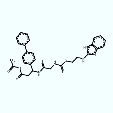 O=C(CNC(=O)OCCNc1nc2ccccc2[nH]1)NC(CC(=O)OC(=O)C(F)(F)F)c1ccc(-c2ccccc2)cc1